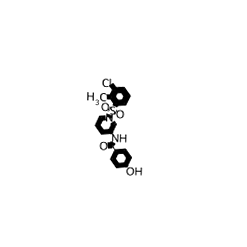 Cc1c(Cl)cccc1S(=O)(=O)N1CCC[C@H](NC(=O)[C@H]2CC[C@H](O)CC2)C1